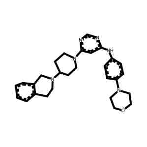 c1ccc2c(c1)CCN(C1CCN(c3cc(Nc4ccc(N5CCOCC5)cc4)ncn3)CC1)C2